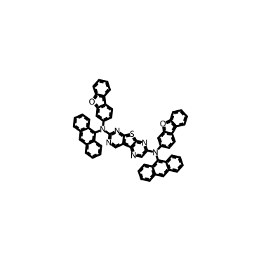 c1ccc2c(N(c3ccc4c(c3)oc3ccccc34)c3cnc4c(n3)sc3nc(N(c5ccc6c(c5)oc5ccccc56)c5c6ccccc6cc6ccccc56)ncc34)c3ccccc3cc2c1